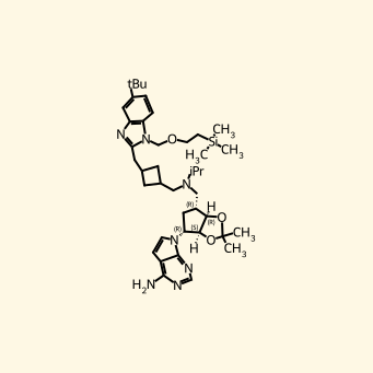 CC(C)N(CC1CC(Cc2nc3cc(C(C)(C)C)ccc3n2COCC[Si](C)(C)C)C1)C[C@H]1C[C@@H](n2ccc3c(N)ncnc32)[C@@H]2OC(C)(C)O[C@H]12